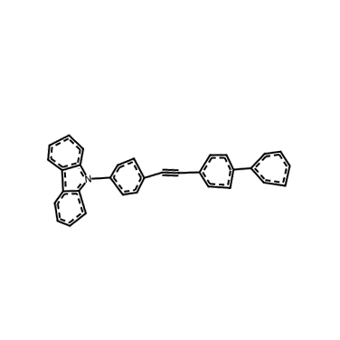 C(#Cc1ccc(-n2c3ccccc3c3ccccc32)cc1)c1ccc(-c2ccccc2)cc1